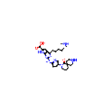 CCCCCc1nc(Nc2ccc(N3CCCC4(CCNCC4)C3=O)cn2)nc2[nH]c(C(=O)O)cc12.CNC